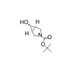 CC(C)(C)OC(=O)N1C[C@@H]2[C@H](O)[C@@H]2C1